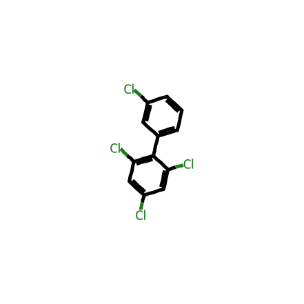 Clc1cccc(-c2c(Cl)cc(Cl)cc2Cl)c1